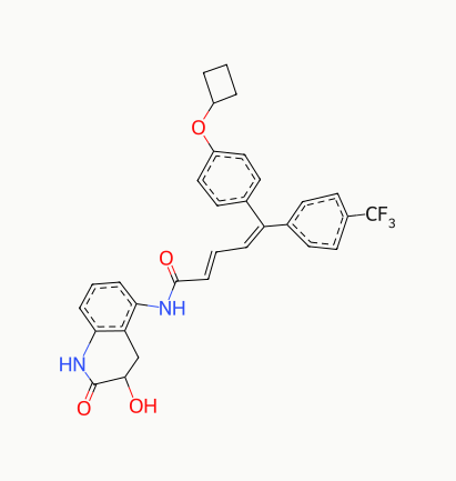 O=C(/C=C/C=C(\c1ccc(OC2CCC2)cc1)c1ccc(C(F)(F)F)cc1)Nc1cccc2c1CC(O)C(=O)N2